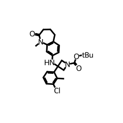 Cc1c(Cl)cccc1C1(Nc2ccc3c(c2)N(C)C(=O)CCC3)CN(C(=O)OC(C)(C)C)C1